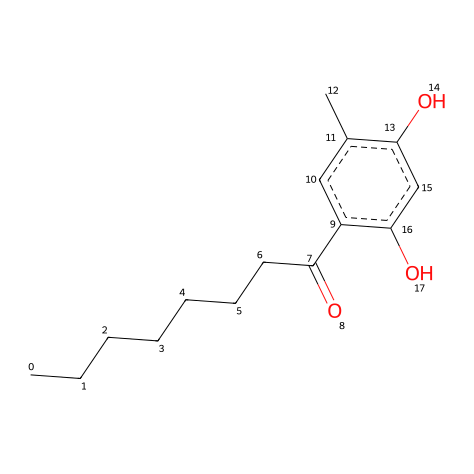 CCCCCCCC(=O)c1cc(C)c(O)cc1O